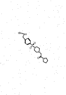 CC(C)(C)NCc1ccc(S(=O)(=O)N2CCN(CC(=O)N3CCCC3)CC2)cc1